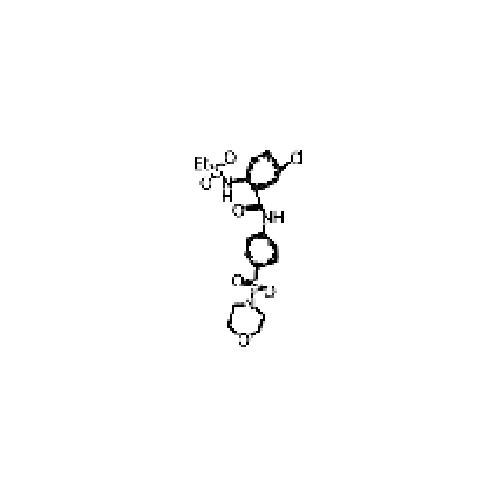 CCS(=O)(=O)Nc1ccc(Cl)cc1C(=O)Nc1ccc(S(=O)(=O)N2CCOCC2)cc1